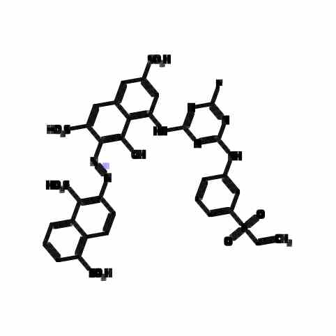 C=CS(=O)(=O)c1cccc(Nc2nc(F)nc(Nc3cc(S(=O)(=O)O)cc4cc(S(=O)(=O)O)c(/N=N/c5ccc6c(S(=O)(=O)O)cccc6c5S(=O)(=O)O)c(O)c34)n2)c1